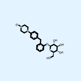 CCN1CCN(c2ccc(Cc3ccccc3O[C@@H]3S[C@H](CO)[C@@H](O)[C@H](O)[C@H]3O)cc2)CC1